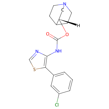 O=C(Nc1ncsc1-c1cccc(Cl)c1)O[C@H]1CN2CCC1CC2